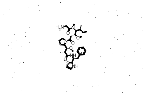 CC[C@H](C)[C@@H]([C@@H](CC(=O)N1CCCC1[C@H](OC)[C@@H](C)C(=O)N[C@@H](Cc1ccccc1)C1NC=CS1)OC)N(C)C(=O)CN